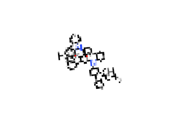 CC1(C)c2ccccc2-c2cc(N(c3ccc4c(c3)C(C)(C)c3ccccc3-4)c3ccccc3-c3ccc(-n4c5ccccc5c5ccccc54)cc3)ccc21